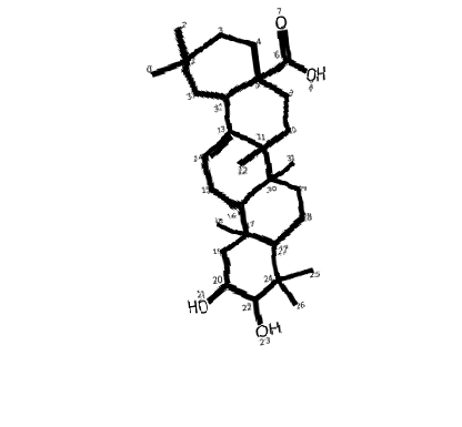 CC1(C)CCC2(C(=O)O)CCC3(C)C(=CCC4C5(C)CC(O)C(O)C(C)(C)C5CCC43C)C2C1